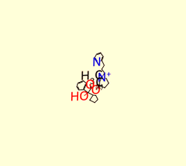 C[N+]1(CCCc2ccccn2)CCC[C@@H](OC(=O)C(O)(c2ccccc2)C2CCCC2)C1